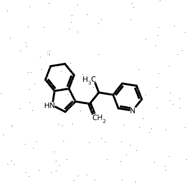 C=C(c1c[nH]c2c1=CCCC=2)C(C)c1cccnc1